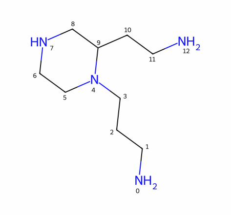 NCCCN1CCNCC1CCN